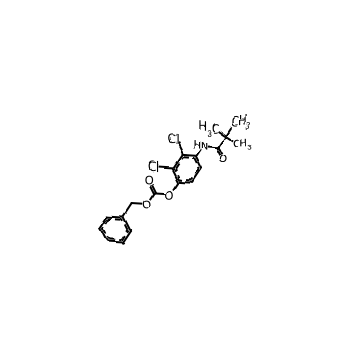 CC(C)(C)C(=O)Nc1ccc(OC(=O)OCc2ccccc2)c(Cl)c1Cl